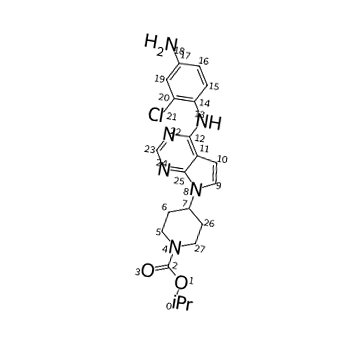 CC(C)OC(=O)N1CCC(n2ccc3c(Nc4ccc(N)cc4Cl)ncnc32)CC1